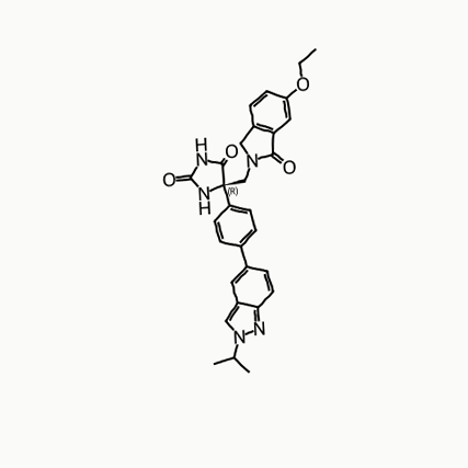 CCOc1ccc2c(c1)C(=O)N(C[C@@]1(c3ccc(-c4ccc5nn(C(C)C)cc5c4)cc3)NC(=O)NC1=O)C2